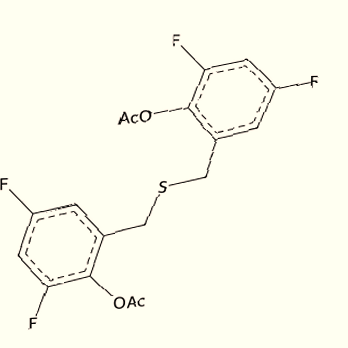 CC(=O)Oc1c(F)cc(F)cc1CSCc1cc(F)cc(F)c1OC(C)=O